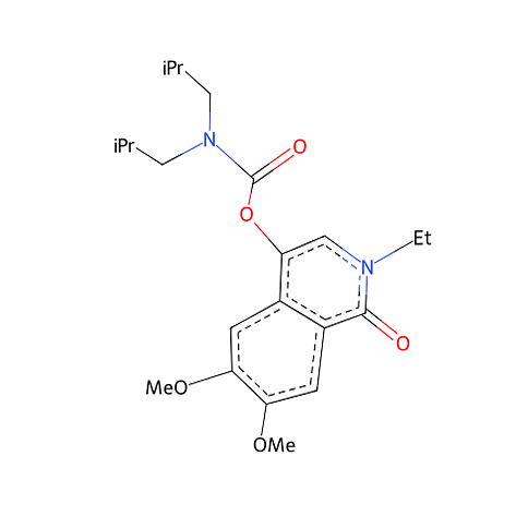 CCn1cc(OC(=O)N(CC(C)C)CC(C)C)c2cc(OC)c(OC)cc2c1=O